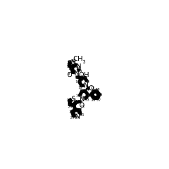 Cn1ccc2c(=O)n(CC3(O)CCN(C(=O)[C@@H]4CCN(C(=O)c5sccc5-c5ccncc5)C[C@H]4c4ccccc4)CC3)cnc21